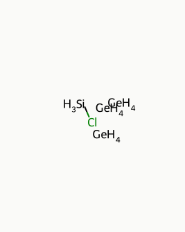 [GeH4].[GeH4].[GeH4].[SiH3]Cl